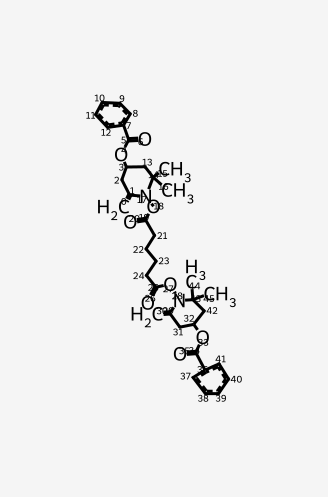 C=C1CC(OC(=O)c2ccccc2)CC(C)(C)N1OC(=O)CCCCC(=O)ON1C(=C)CC(OC(=O)c2ccccc2)CC1(C)C